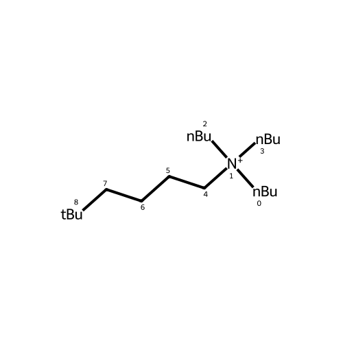 CCCC[N+](CCCC)(CCCC)CCCCC(C)(C)C